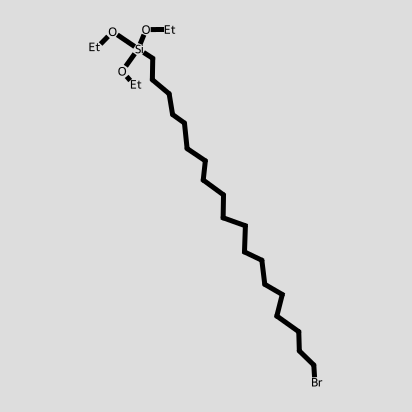 CCO[Si](CCCCCCCCCCCCCCCCCCCBr)(OCC)OCC